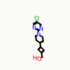 OCC1CC(C2CCN(c3ncc(Cl)cn3)CC2)C1